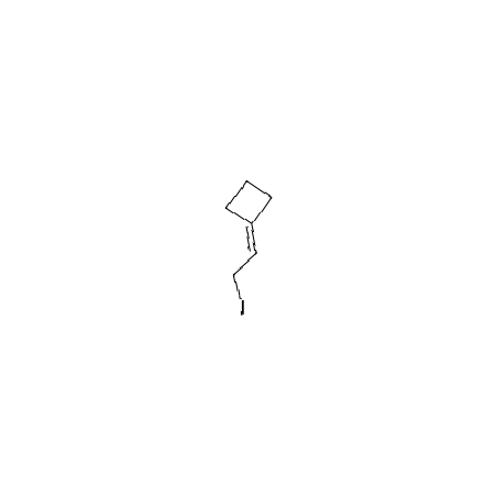 ICC=C1CCC1